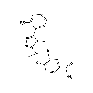 Cn1c(-c2ccccc2C(F)(F)F)nnc1C(C)(C)Oc1ccc(C(N)=O)cc1Br